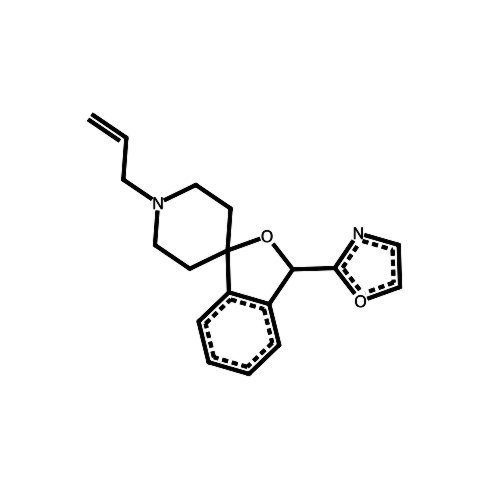 C=CCN1CCC2(CC1)OC(c1ncco1)c1ccccc12